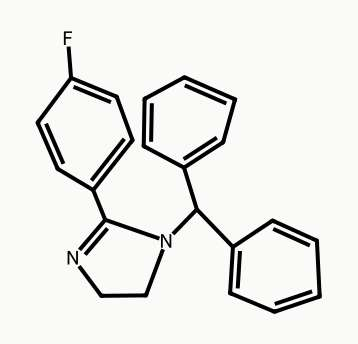 Fc1ccc(C2=NCCN2C(c2ccccc2)c2ccccc2)cc1